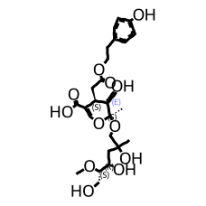 CO[C@@H](CO)[C@H](O)CC(C)(O)CO[C@@]1(C)OC=C(C(=O)O)[C@@H](CC(=O)OCCc2ccc(O)cc2)/C1=C\O